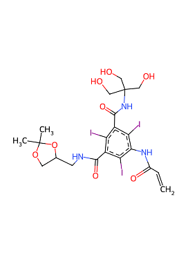 C=CC(=O)Nc1c(I)c(C(=O)NCC2COC(C)(C)O2)c(I)c(C(=O)NC(CO)(CO)CO)c1I